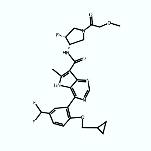 COCC(=O)N1C[C@@H](F)[C@@H](NC(=O)c2c(C)[nH]c3c(-c4cc(C(F)F)ccc4OCC4CC4)ncnc23)C1